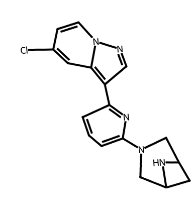 Clc1ccn2ncc(-c3cccc(N4CC5CC(C4)N5)n3)c2c1